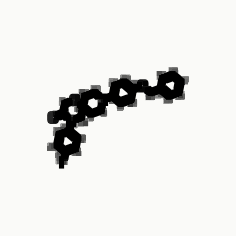 O=C1COC2(CCN(c3ccc(OCc4ccccc4)cc3)CC2)CN1c1ccc(F)cc1